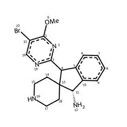 COc1nc(C2c3ccccc3[C@H](N)C23CCNCC3)ncc1Br